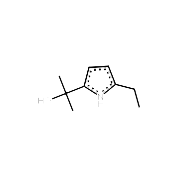 CCc1ccc(C(C)(C)O)[nH]1